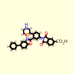 O=C(O)c1ccc2c(c1)C(=O)N(c1ccc(C3CNCCO3)c(-c3nc4cc(-c5ccccc5)ccc4o3)c1)C2=O